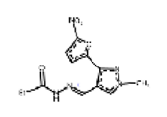 CCC(=O)N/N=C/c1cn(C)nc1-c1ccc([N+](=O)[O-])o1